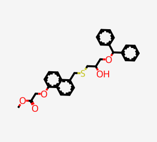 COC(=O)COc1cccc2c(CSCC(O)COC(c3ccccc3)c3ccccc3)cccc12